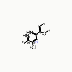 CC=C(OC)C(=N)/C=C(/Cl)C(C)=N